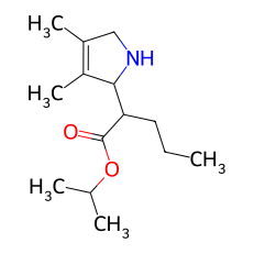 CCCC(C(=O)OC(C)C)C1NCC(C)=C1C